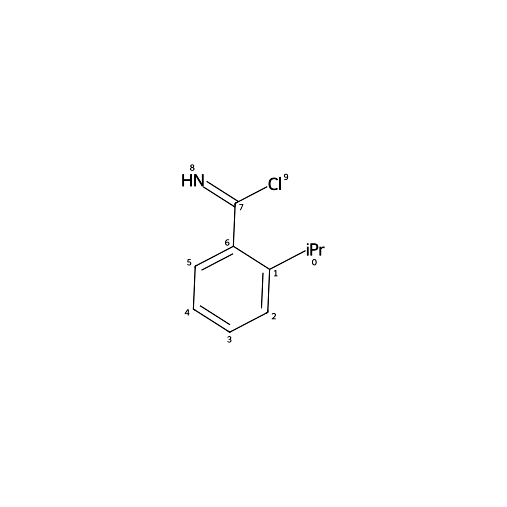 CC(C)c1ccccc1C(=N)Cl